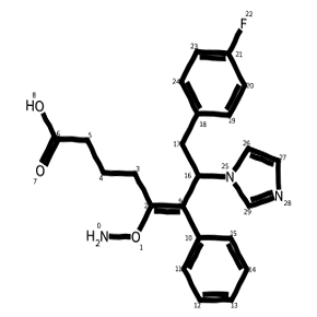 NOC(CCCC(=O)O)=C(c1ccccc1)C(Cc1ccc(F)cc1)n1ccnc1